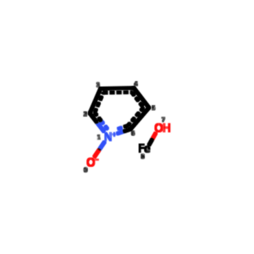 [O-][n+]1ccccc1.[OH][Fe]